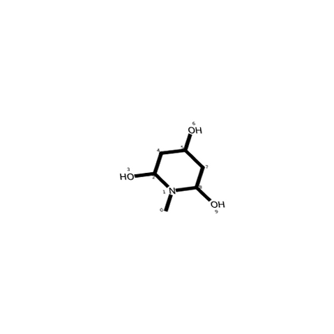 CN1C(O)CC(O)CC1O